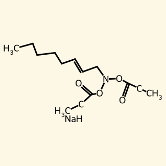 CCCCCC=CCN(OC(=O)CC)OC(=O)CC.[NaH]